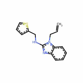 C=CCn1c(NCc2cccs2)nc2ccccc21